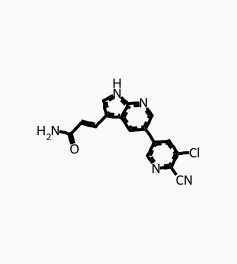 N#Cc1ncc(-c2cnc3[nH]cc(C=CC(N)=O)c3c2)cc1Cl